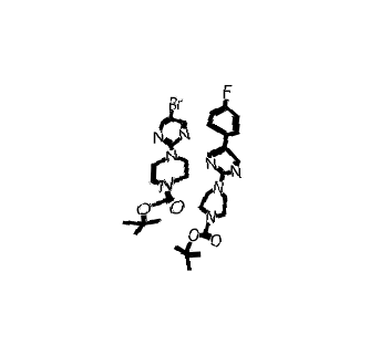 CC(C)(C)OC(=O)N1CCN(c2ncc(-c3ccc(F)cc3)cn2)CC1.CC(C)(C)OC(=O)N1CCN(c2ncc(Br)cn2)CC1